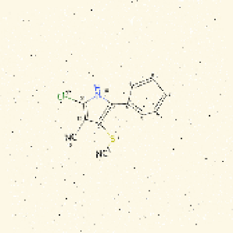 N#CSc1c(-c2ccccc2)[nH]c(Cl)c1C#N